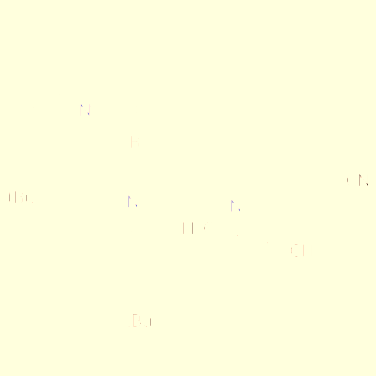 CC(C)(C)c1ccc(N2c3cc(N4c5ccc(C#N)cc5C5(C)CCCC45C)ccc3B3c4ccccc4N(c4ccccc4)c4cc(C(C)(C)C)cc2c43)cc1